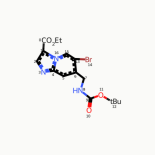 CCOC(=O)c1cnc2cc(CNC(=O)OC(C)(C)C)c(Br)cn12